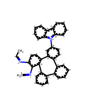 C=Nc1c(/N=C\C)ccc2c1-c1ccccc1-c1ccccc1-c1ccc(-n3c4ccccc4c4ccccc43)cc1-2